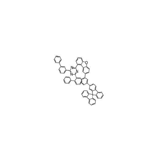 c1ccc(-c2cccc(-c3nc(-c4ccccc4-c4ccccc4)nc(-c4cccc5oc6ccc(-c7cccc(-c8ccc9c(c8)C8(c%10ccccc%10-c%10ccccc%108)c8ccccc8-9)c7)cc6c45)n3)c2)cc1